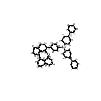 c1ccc(-c2ccc(N(c3ccc(-c4ccccc4)cc3)c3ccc(-c4ccc5cccc6c7cccc8cccc(oc4c56)c87)cc3)cc2)cc1